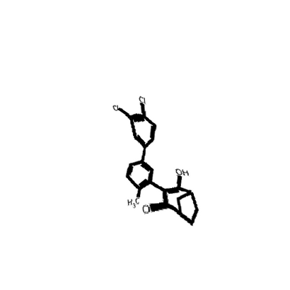 Cc1ccc(-c2ccc(Cl)c(Cl)c2)cc1C1=C(O)C2CCC(C2)C1=O